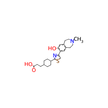 CN1CCc2cc(O)c(-c3csc(C4CCC(CCC(=O)O)CC4)n3)cc2CC1